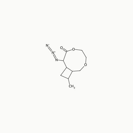 CC1CC2C(N=[N+]=[N-])C(=O)OCCOCC12